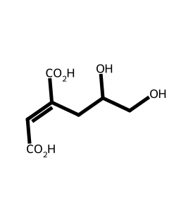 O=C(O)/C=C(\CC(O)CO)C(=O)O